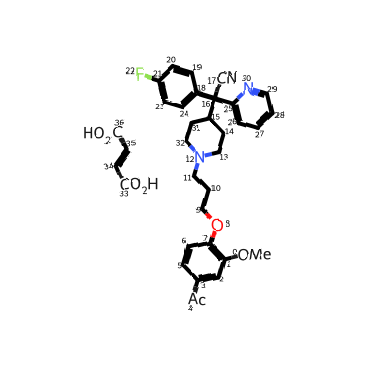 COc1cc(C(C)=O)ccc1OCCCN1CCC(C(C#N)(c2ccc(F)cc2)c2ccccn2)CC1.O=C(O)/C=C/C(=O)O